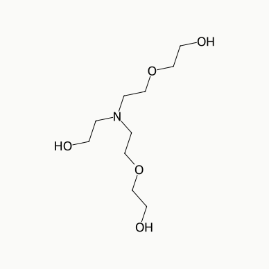 OCCOCCN(CCO)CCOCCO